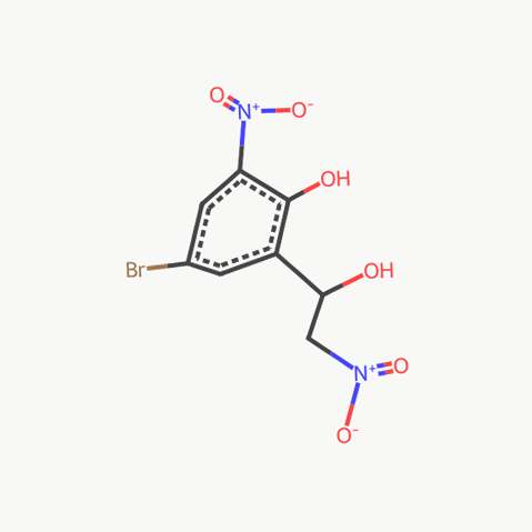 O=[N+]([O-])CC(O)c1cc(Br)cc([N+](=O)[O-])c1O